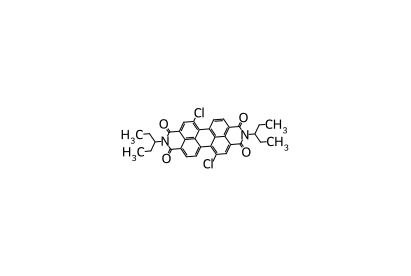 CCC(CC)N1C(=O)c2ccc3c4c(Cl)cc5c6c(ccc(c7c(Cl)cc(c2c37)C1=O)c64)C(=O)N(C(CC)CC)C5=O